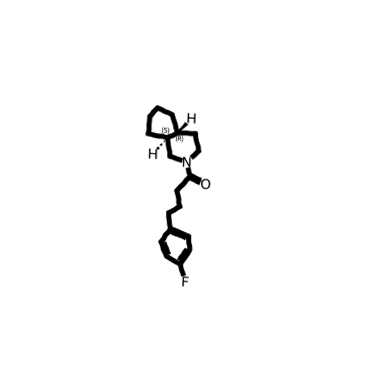 O=C(CCCc1ccc(F)cc1)N1CC[C@H]2CCCC[C@@H]2C1